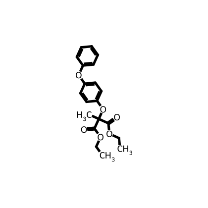 CCOC(=O)C(C)(Oc1ccc(Oc2ccccc2)cc1)C(=O)OCC